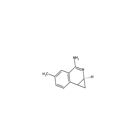 Cc1ccc2c(c1)C(N)=N[C@H]1CC21